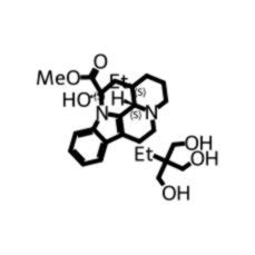 CCC(CO)(CO)CO.CC[C@]12CCCN3CCc4c(n(c5ccccc45)[C@@](O)(C(=O)OC)C1)[C@@H]32